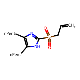 C=CCS(=O)(=O)c1nc(CCCCC)c(CCCCC)[nH]1